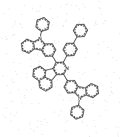 c1ccc(-c2ccc(-c3nc(-c4ccc5c(c4)c4ccccc4n5-c4ccccc4)c4c(c3-c3ccc5c(c3)c3ccccc3n5-c3ccccc3)-c3cccc5cccc-4c35)cc2)cc1